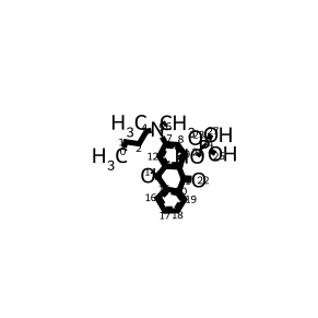 CCCC(C)N(C)c1ccc2c(c1)C(=O)c1ccccc1C2=O.O=P(O)(O)O